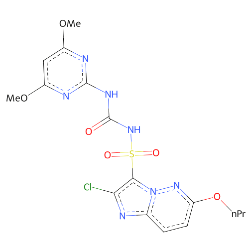 CCCOc1ccc2nc(Cl)c(S(=O)(=O)NC(=O)Nc3nc(OC)cc(OC)n3)n2n1